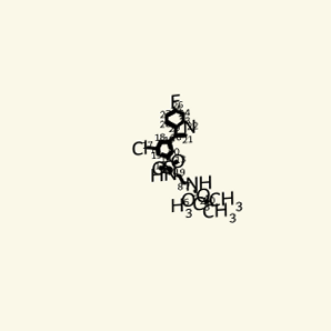 CC(C)(C)OC(=O)NCCNS(=O)(=O)c1cc(Cl)cc(C2=CN=C3CC(F)=CC=C23)c1